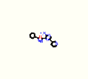 Nc1ncc(-c2cccnc2)nc1-c1nnc(-c2ccccc2)o1